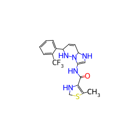 CC1=C(C(=O)NC2=CNC3C=CC(c4ccccc4C(F)(F)F)NN23)NCS1